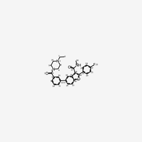 CCN1CCN(C(=O)c2cccc(-c3ccc4oc(-c5ccc(F)cc5)c(C(=O)NC)c4c3)c2)CC1